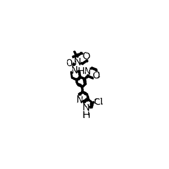 CC1(C)COCCN1C(=O)N1CCc2cc(-c3cnc4[nH]cc(Cl)c4c3)cc(C3COCCN3)c2C1